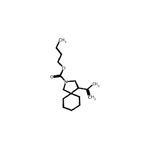 C=C(C)C1CN(C(=O)OCCCC)CC12CCCCC2